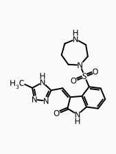 Cc1nnc(/C=C2\C(=O)Nc3cccc(S(=O)(=O)N4CCCNCC4)c32)[nH]1